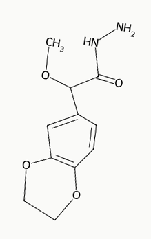 COC(C(=O)NN)c1ccc2c(c1)OCCO2